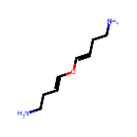 NCCC=COC=CCCN